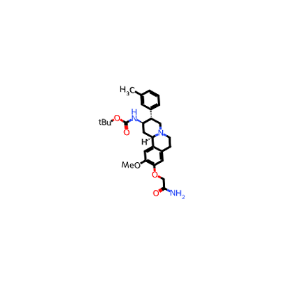 COc1cc2c(cc1OCC(N)=O)CCN1C[C@@H](c3cccc(C)c3)[C@H](NC(=O)OC(C)(C)C)C[C@H]21